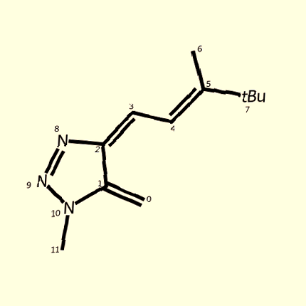 C=c1/c(=C\C=C(/C)C(C)(C)C)nnn1C